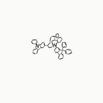 c1ccc(-n2c3ccccc3c3cc(-c4ccc(N(c5ccc6c(c5)C(c5ccccc5)(c5ccccc5)c5ccccc5-6)c5cccc6oc7ccccc7c56)cc4)ccc32)cc1